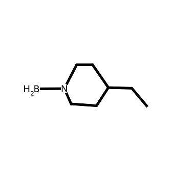 BN1CCC(CC)CC1